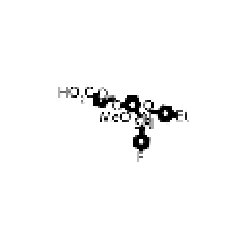 CCc1ccc(C(=O)N2N=C(c3ccc(F)cc3)SC2c2cccc(OCc3ccc(C(=O)O)o3)c2OC)cc1